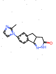 Cc1nccn1-c1ccc2c(c1)CC1CC(=O)NN=C21